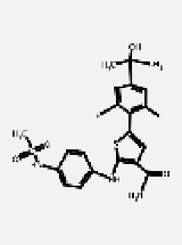 CC(C)(O)c1cc(F)c(-c2cc(C(N)=O)c(Nc3ccc(NS(C)(=O)=O)cc3)s2)c(F)c1